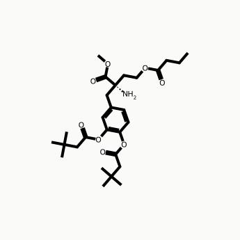 CCCC(=O)OCC[C@@](N)(Cc1ccc(OC(=O)CC(C)(C)C)c(OC(=O)CC(C)(C)C)c1)C(=O)OC